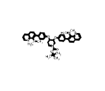 CN(C)c1c(-c2ccc(OC3CCN(C(=O)OC(C)(C)C)CC3Oc3ccc(-c4ccc5cccnc5c4N(C)C)cc3)cc2)ccc2cccnc12